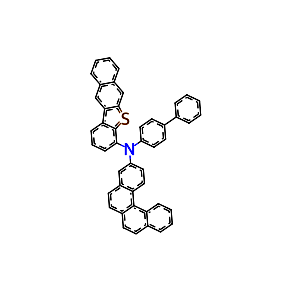 c1ccc(-c2ccc(N(c3ccc4c(ccc5ccc6ccccc6c54)c3)c3cccc4c3sc3cc5ccccc5cc34)cc2)cc1